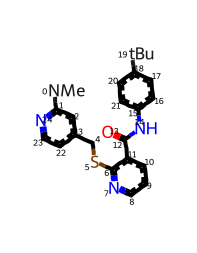 CNc1cc(CSc2ncccc2C(=O)Nc2ccc(C(C)(C)C)cc2)ccn1